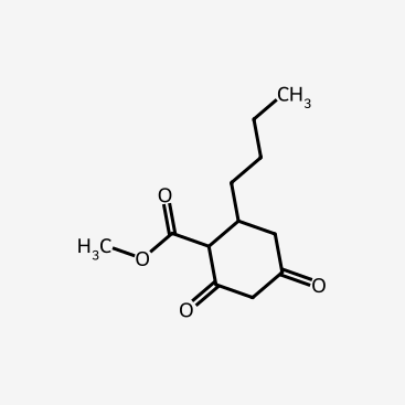 CCCCC1CC(=O)CC(=O)C1C(=O)OC